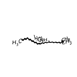 CCCCCCCCCCCCCCCCCCCCCCCCCCCC(C)C.Cl.N